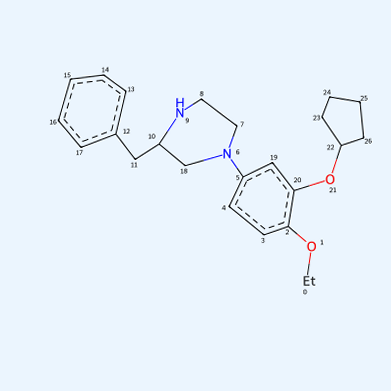 CCOc1ccc(N2CCNC(Cc3ccccc3)C2)cc1OC1CCCC1